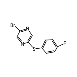 Fc1ccc(Sc2cnc(Br)cn2)cc1